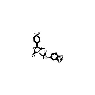 O=C(CN1C(=O)SC(=C2CCC(F)(F)CC2)C1=O)Nc1ccc2ncoc2c1